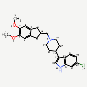 COc1cc2c(cc1OC)CC(CN1CCC(c3c[nH]c4cc(Cl)ccc34)CC1)C2